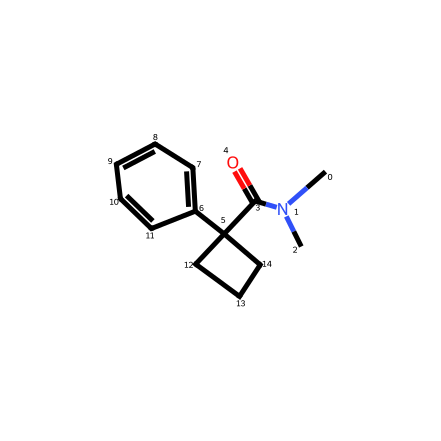 CN(C)C(=O)C1(c2ccccc2)CCC1